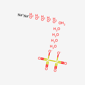 O.O.O.O.O.O.O.O.O.O.O=S(=O)([O-])S(=O)(=O)[O-].[Na+].[Na+]